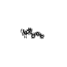 CCn1c(=S)[nH]c2cc3c(NCc4ccccc4CN4CCN(Cc5ccccc5)CC4)ncnc3cc21